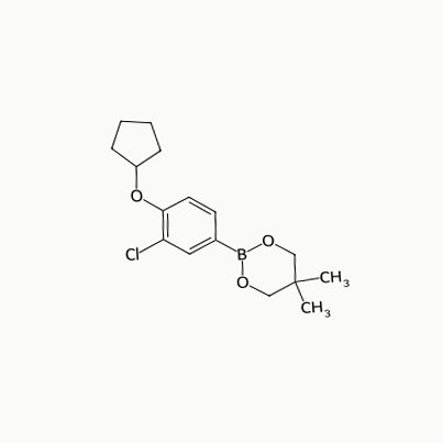 CC1(C)COB(c2ccc(OC3CCCC3)c(Cl)c2)OC1